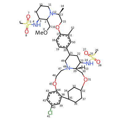 COCC1[C@@H](NS(C)(=O)=O)CCCN1[C@@H](C)COc1ccc(C2CC(NS(C)(=O)=O)[C@@H]3COC4CCC(CC4)c4cc(Cl)ccc4OCCN3C2)cc1C